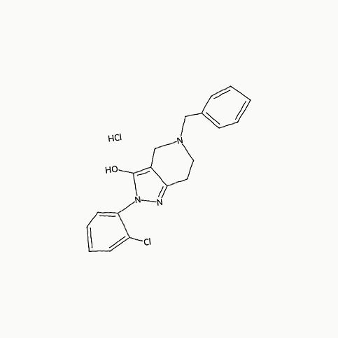 Cl.Oc1c2c(nn1-c1ccccc1Cl)CCN(Cc1ccccc1)C2